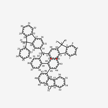 CC1(C)c2ccccc2-c2ccc(N(c3ccc4c(c3)C(C)(c3ccccc3)c3ccccc3-4)c3ccccc3-c3ccccc3-c3cccc4oc5ccccc5c34)cc21